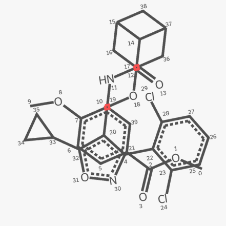 COC(=O)c1ccc(OC)c(NC(=O)C2C3CC(OCc4c(-c5c(Cl)cccc5Cl)noc4C4CC4)CC2C3)c1